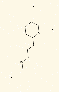 CNCCCC1CCCCS1